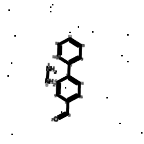 NN.O=Cc1ccc(-c2ccccn2)cc1